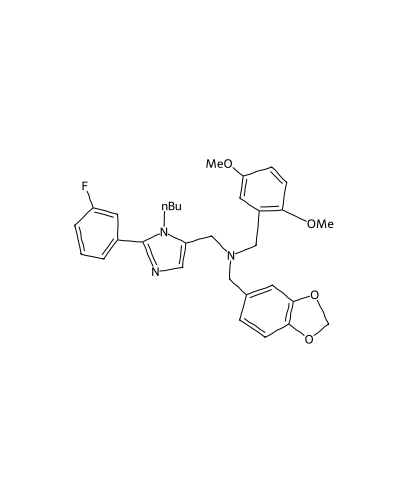 CCCCn1c(CN(Cc2ccc3c(c2)OCO3)Cc2cc(OC)ccc2OC)cnc1-c1cccc(F)c1